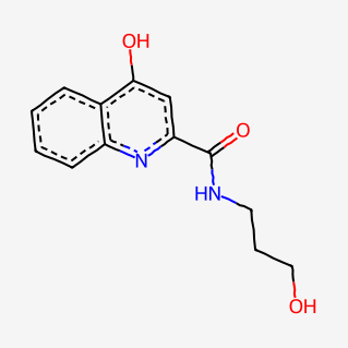 O=C(NCCCO)c1cc(O)c2ccccc2n1